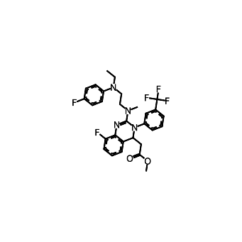 CCN(CCN(C)C1=Nc2c(F)cccc2C(CC(=O)OC)N1c1cccc(C(F)(F)F)c1)c1ccc(F)cc1